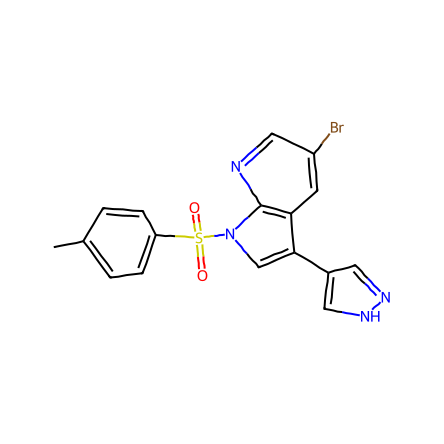 Cc1ccc(S(=O)(=O)n2cc(-c3cn[nH]c3)c3cc(Br)cnc32)cc1